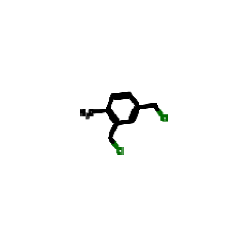 Cc1ccc(CCl)cc1CCl